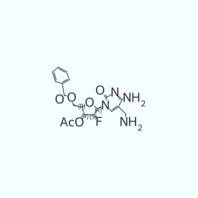 CC(=O)O[C@H]1[C@H](F)[C@H](n2cc(CN)c(N)nc2=O)O[C@@H]1COC(=O)c1ccccc1